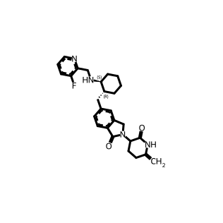 C=C1CCC(N2Cc3cc(C[C@H]4CCCC[C@@H]4NCc4ncccc4F)ccc3C2=O)C(=O)N1